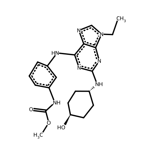 CCn1cnc2c(Nc3cccc(NC(=O)OC)c3)nc(N[C@H]3CC[C@H](O)CC3)nc21